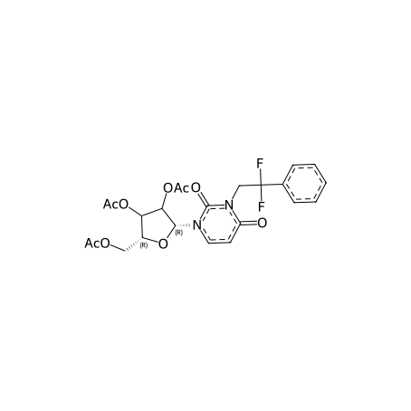 CC(=O)OC[C@H]1O[C@@H](n2ccc(=O)n(CC(F)(F)c3ccccc3)c2=O)C(OC(C)=O)C1OC(C)=O